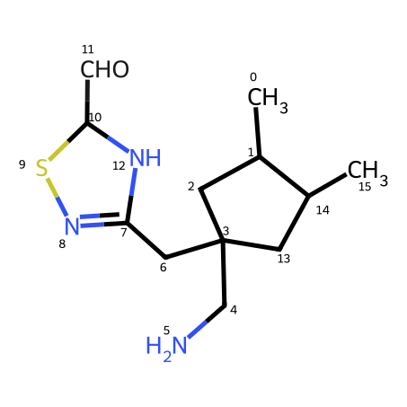 CC1CC(CN)(CC2=NSC(C=O)N2)CC1C